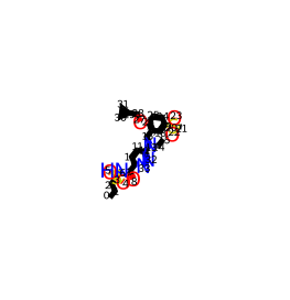 CCCS(=O)(=O)NC(=O)c1ccc(N(CC)Cc2cc(S(C)(=O)=O)ccc2OCC2CC2)nn1